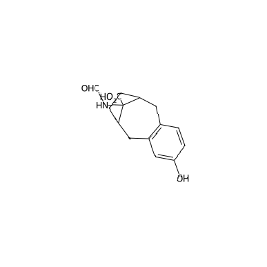 O=CNC1(C(=O)O)C2CCC1Cc1cc(O)ccc1C2